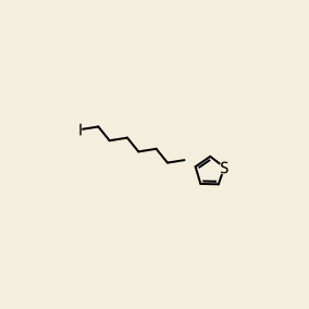 CCCCCCCI.c1ccsc1